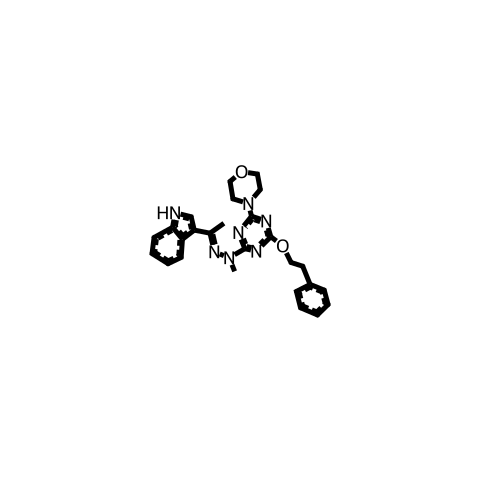 CC(=NN(C)c1nc(OCCc2ccccc2)nc(N2CCOCC2)n1)c1c[nH]c2ccccc12